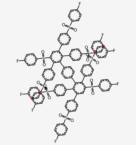 O=S(=O)(c1ccc(F)cc1)c1ccc(-c2cc(S(=O)(=O)c3ccc(F)cc3)c(-c3ccc(S(=O)(=O)c4ccc(F)cc4)cc3)c(-c3ccc(-c4c(-c5ccc(S(=O)(=O)c6ccc(F)cc6)cc5)c(-c5ccc(S(=O)(=O)c6ccc(F)cc6)cc5)cc(S(=O)(=O)c5ccc(F)cc5)c4-c4ccc(S(=O)(=O)c5ccc(F)cc5)cc4)cc3)c2-c2ccc(S(=O)(=O)c3ccc(F)cc3)cc2)cc1